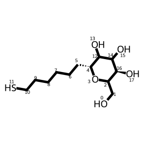 OCC1O[C@H](CCCCCCS)C(O)C(O)[C@H]1O